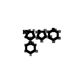 C1CCNC1.C1CCOCC1.C1CCSC1.C1CCSCC1